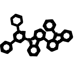 C1=CCC(c2cc(-c3ccccc3)cc(-n3c4ccccc4c4c(-c5cccc6c7ccccc7n(-c7ccccc7)c56)cccc43)n2)CC1